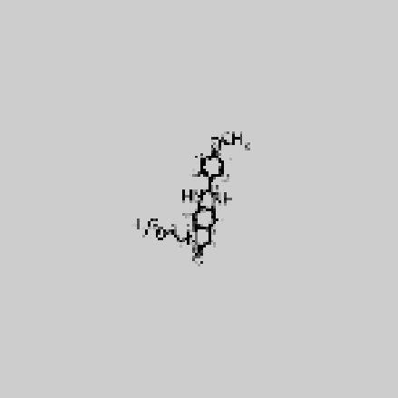 COCCN1C(=O)Cc2cc3c(cc21)NC(c1ccc(OC)cc1)N3